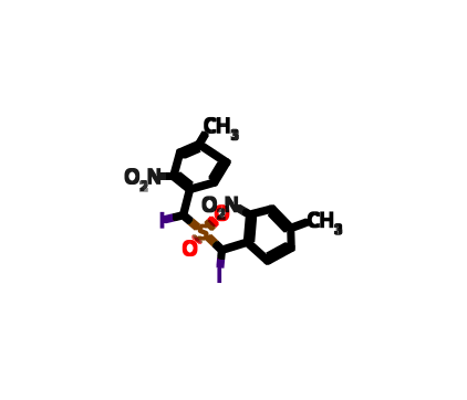 Cc1ccc(C(I)S(=O)(=O)C(I)c2ccc(C)cc2[N+](=O)[O-])c([N+](=O)[O-])c1